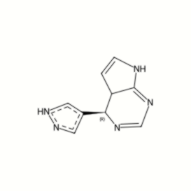 C1=CC2C(=NC=N[C@H]2c2cn[nH]c2)N1